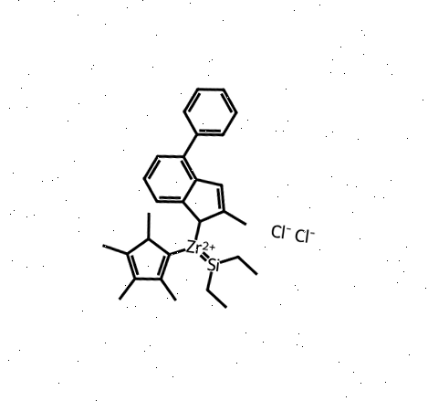 CC[Si](CC)=[Zr+2]([C]1=C(C)C(C)=C(C)C1C)[CH]1C(C)=Cc2c(-c3ccccc3)cccc21.[Cl-].[Cl-]